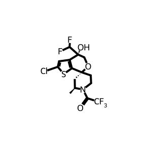 C[C@H]1C[C@@]2(CCN1C(=O)C(F)(F)F)OC[C@](O)(C(F)F)c1cc(Cl)sc12